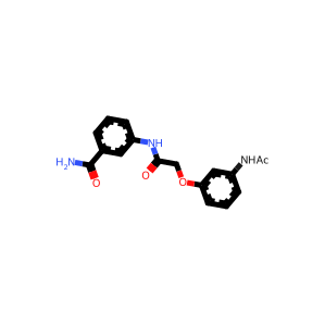 CC(=O)Nc1cccc(OCC(=O)Nc2cccc(C(N)=O)c2)c1